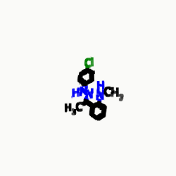 CNc1ccccc1/C(C)=N/Nc1ccc(Cl)cc1